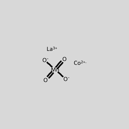 [Co+2].[La+3].[O]=[Mn](=[O])([O-])[O-]